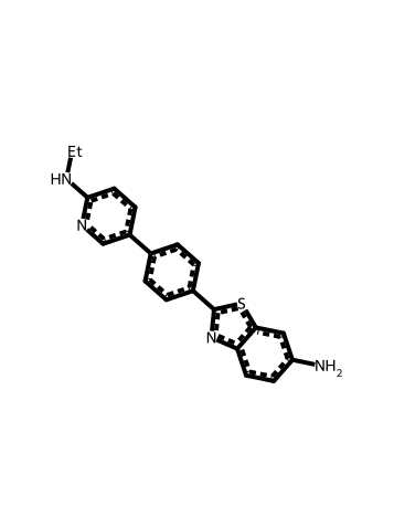 CCNc1ccc(-c2ccc(-c3nc4ccc(N)cc4s3)cc2)cn1